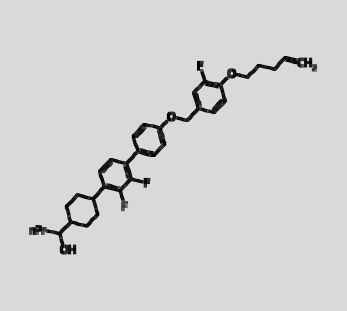 C=CCCCOc1ccc(COc2ccc(-c3ccc(C4CCC(C(O)CCC)CC4)c(F)c3F)cc2)cc1F